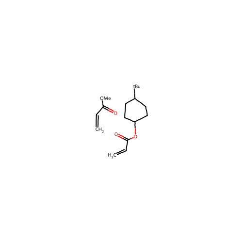 C=CC(=O)OC.C=CC(=O)OC1CCC(C(C)(C)C)CC1